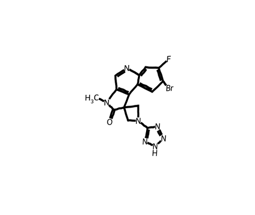 CN1C(=O)C2(CN(c3nn[nH]n3)C2)c2c1cnc1cc(F)c(Br)cc21